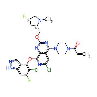 C=CC(=O)N1CCN(c2nc(OC[C@@H]3C[C@H](F)CN3C)nc3c(Oc4c(Cl)c(F)cc5[nH]ncc45)nc(Cl)cc23)CC1